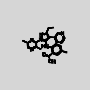 CCc1nn(-c2nc(C)cnc2C)c(Nc2ccc(C)cc2C(=O)O)c1-c1cccnc1